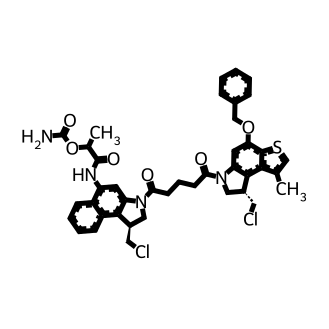 Cc1csc2c(OCc3ccccc3)cc3c(c12)[C@H](CCl)CN3C(=O)CCCC(=O)N1C[C@@H](CCl)c2c1cc(NC(=O)C(C)OC(N)=O)c1ccccc21